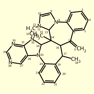 C=C1c2ccccc2N2C=CN(C)C2C2(C)C1C(C)c1ccccc1N1c3cncnc3N(C)C12